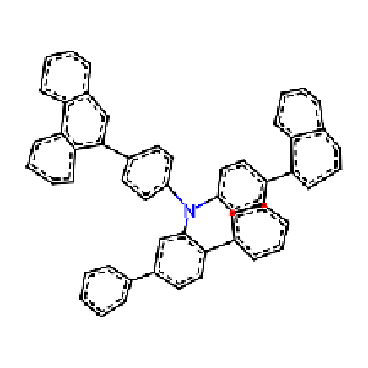 c1ccc(-c2ccc(-c3ccccc3)c(N(c3ccc(-c4cccc5ccccc45)cc3)c3ccc(-c4cc5ccccc5c5ccccc45)cc3)c2)cc1